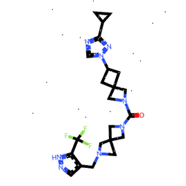 O=C(N1CC2(CC(n3cnc(C4CC4)n3)C2)C1)N1CC2(CN(Cc3cn[nH]c3C(F)(F)F)C2)C1